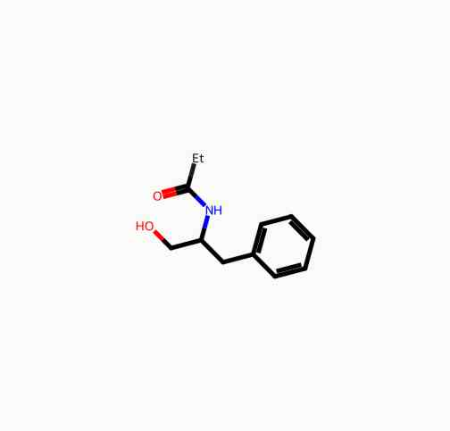 CCC(=O)NC(CO)Cc1ccccc1